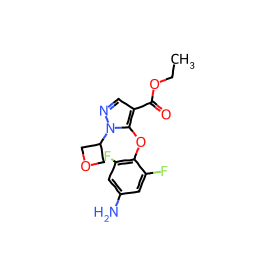 CCOC(=O)c1cnn(C2COC2)c1Oc1c(F)cc(N)cc1F